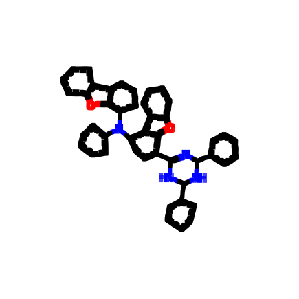 c1ccc(C2N=C(c3ccc(N(c4ccccc4)c4cccc5c4oc4ccccc45)c4c3oc3ccccc34)NC(c3ccccc3)N2)cc1